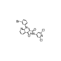 O=C(Nc1cc(Cl)nc(Cl)c1)c1cn(-c2cccc(Br)c2)c2ncccc2c1=O